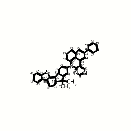 CC1(C)c2cc(N3c4ncncc4-c4cc(-c5ccccc5)cc5cccc3c45)ccc2-c2c1ccc1c2sc2ccccc21